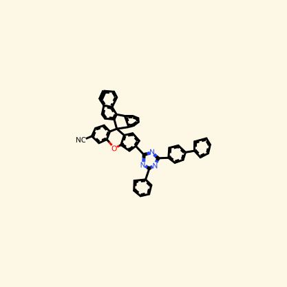 N#Cc1ccc2c(c1)Oc1cc(-c3nc(-c4ccccc4)nc(-c4ccc(-c5ccccc5)cc4)n3)ccc1C21c2ccccc2-c2c1ccc1c#cccc21